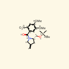 C=C1C[C@@H](CO[Si](C)(C)C(C)(C)C)N(C(=O)c2cc(OC)c(OC)cc2[N+](=O)[O-])C1